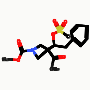 COC(=O)C1(C(Cc2ccccc2)OS(C)(=O)=O)CN(C(=O)OC(C)(C)C)C1